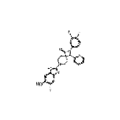 O=C1N(c2ccc(F)c(F)c2)C(c2ccccn2)C12CCN(c1nc3cc(F)c(O)cc3[nH]1)CC2